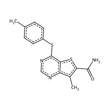 Cc1ccc(Sc2ncnc3c(C)c(C(N)=O)sc23)cc1